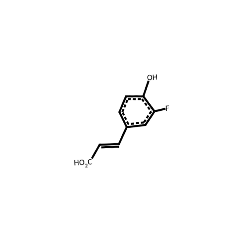 O=C(O)/C=C/c1ccc(O)c(F)c1